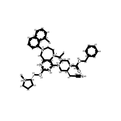 CC(=O)N1CCN(c2cccc3cccc(C)c23)Cc2nc(OC[C@@H]3CCCN3C)nc(N3CCN(C(=O)OCc4ccccc4)[C@@H](CC#N)C3)c21